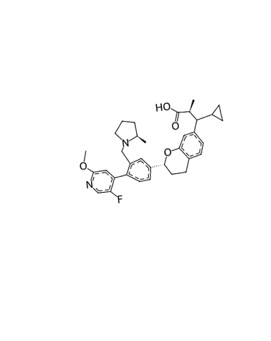 COc1cc(-c2ccc([C@H]3CCc4ccc(C(C5CC5)[C@H](C)C(=O)O)cc4O3)cc2CN2CCC[C@H]2C)c(F)cn1